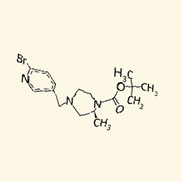 C[C@H]1CN(Cc2ccc(Br)nc2)CCN1C(=O)OC(C)(C)C